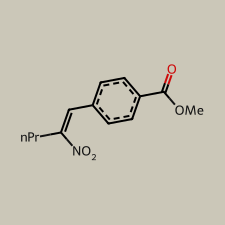 CCC/C(=C/c1ccc(C(=O)OC)cc1)[N+](=O)[O-]